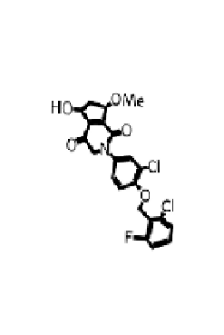 COC1CC(O)C2=C1C(=O)N(c1ccc(OCc3c(F)cccc3Cl)c(Cl)c1)CC2=O